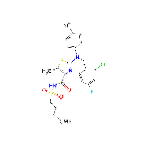 COCCCS(=O)(=O)NC(=O)c1nc(N(Cc2ccc(F)cc2Cl)c2ccc(C#N)cc2)sc1C